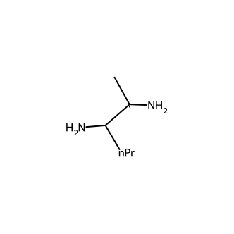 CCCC(N)[C](C)N